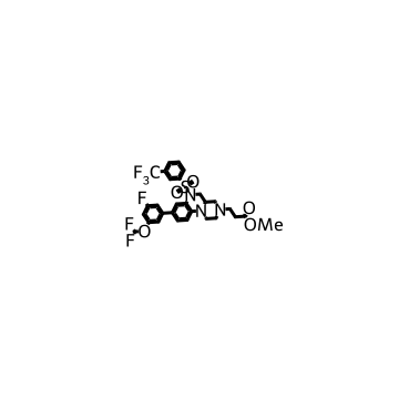 COC(=O)CCN1CCN2c3ccc(-c4cc(F)cc(OC(F)F)c4)cc3N(S(=O)(=O)c3cccc(C(F)(F)F)c3)CC2C1